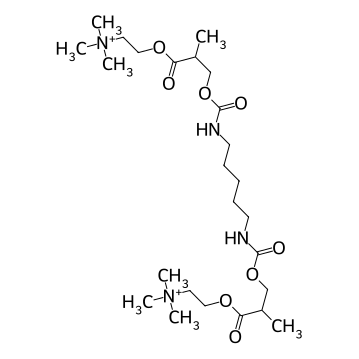 CC(COC(=O)NCCCCCNC(=O)OCC(C)C(=O)OCC[N+](C)(C)C)C(=O)OCC[N+](C)(C)C